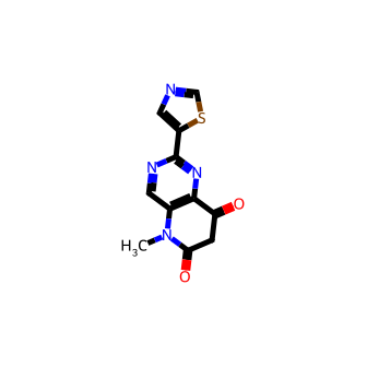 CN1C(=O)CC(=O)c2nc(-c3cncs3)ncc21